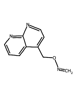 C=NOCc1ccnc2ncccc12